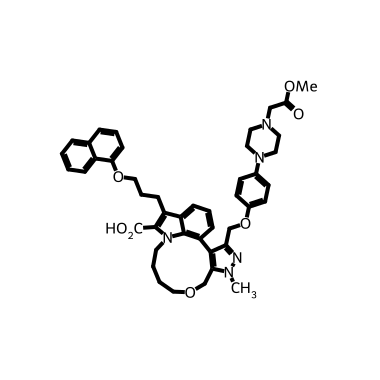 COC(=O)CN1CCN(c2ccc(OCc3nn(C)c4c3-c3cccc5c(CCCOc6cccc7ccccc67)c(C(=O)O)n(c35)CCCCOC4)cc2)CC1